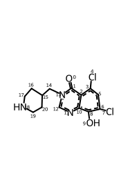 O=c1c2c(Cl)cc(Cl)c(O)c2ncn1CC1CCNCC1